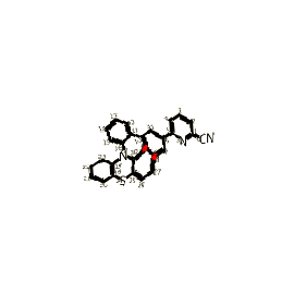 N#Cc1cccc(-c2cccc(-c3ccccc3N3C4=C(C=CCC4)Sc4ccccc43)c2)n1